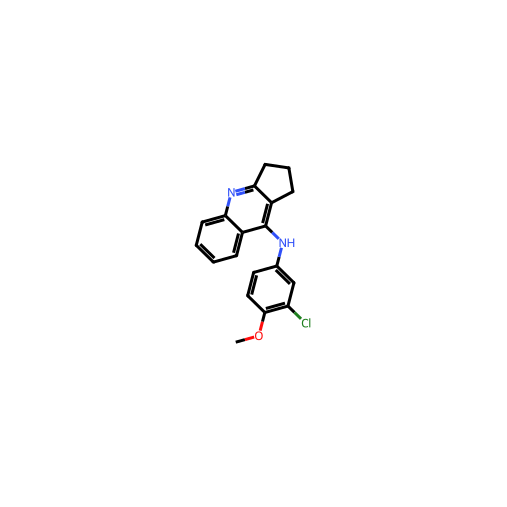 COc1ccc(Nc2c3c(nc4ccccc24)CCC3)cc1Cl